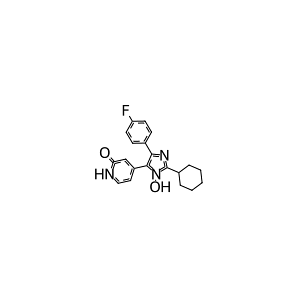 O=c1cc(-c2c(-c3ccc(F)cc3)nc(C3CCCCC3)n2O)cc[nH]1